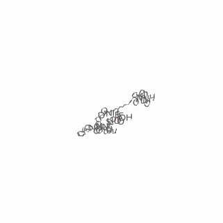 CC(C)(C)C(NC(=O)c1cc2cc(C(F)(F)P(=O)(O)O)ccc2s1)C(=O)N1Cc2cc(OCC(=O)NCCCCCCCCC#Cc3cccc4c3C(=O)N(C3CCC(=O)NC3=O)C4=O)ccc2C[C@H]1C(=O)N1CCC[C@H](c2ccccc2)C1